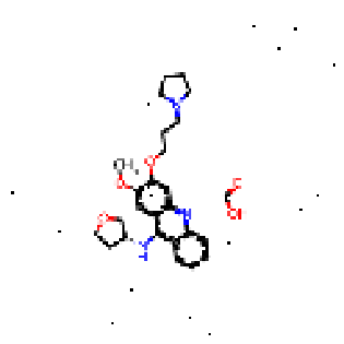 COc1cc2c(N[C@@H]3CCOC3)c3ccccc3nc2cc1OCCCN1CCCC1.O=CO